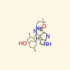 C[C@@H]1C[C@H]2C[C@@](O)(C1)C[C@@H](C)[C@H]2C1=NN2CCC(C)(C)OB2c2cnc3[nH]ccc3c21